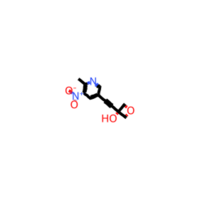 Cc1ncc(C#CC2(O)COC2)cc1[N+](=O)[O-]